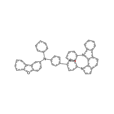 c1ccc(N(c2ccc(-c3ccc(-n4ccc5ccc6c7ccccc7n(-c7ccccc7)c6c54)cc3)cc2)c2ccc3oc4ccccc4c3c2)cc1